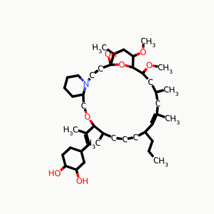 CCCC1C=C(C)CC(C)CC(OC)C2OC(O)(CCN3CCCCC3COC(C(C)=CC3CCC(O)C(O)C3)C(C)CCC1)C(C)CC2OC